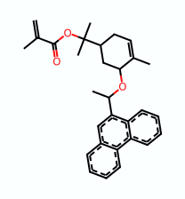 C=C(C)C(=O)OC(C)(C)C1CC=C(C)C(OC(C)c2cc3ccccc3c3ccccc23)C1